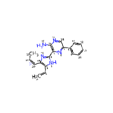 C=Cc1[nH]c(-c2nc(-c3ccccc3)cnc2N)nc1/C=C\C